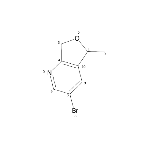 CC1OCc2ncc(Br)cc21